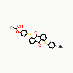 CC(C)C(O)Oc1ccc(Sc2cccc3c2C(=O)c2cccc(Sc4ccc(C(C)(C)C)cc4)c2C3=O)cc1